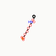 CS(=O)(=O)OCCOCCOCCOCCOCCNC(=O)OCc1ccccc1